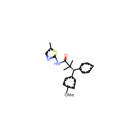 COc1ccc([C@H](c2ccccc2)C(C)(C)C(=O)Nc2ncc(C)s2)cc1